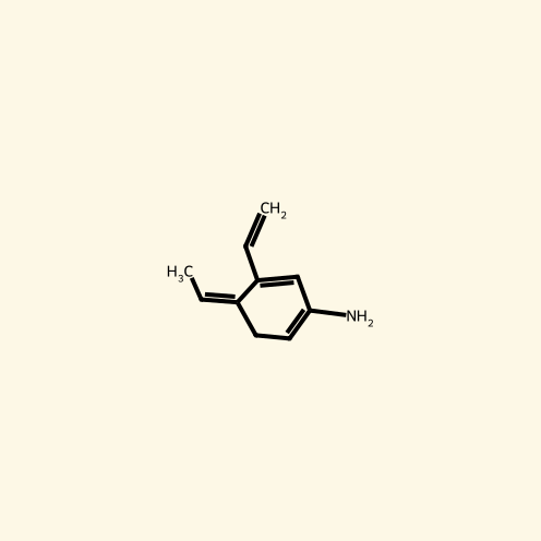 C=CC1=CC(N)=CC/C1=C/C